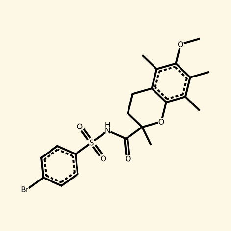 COc1c(C)c(C)c2c(c1C)CCC(C)(C(=O)NS(=O)(=O)c1ccc(Br)cc1)O2